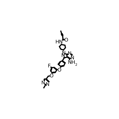 CC#CC(=O)N[C@H]1CC[C@@H](n2nc(-c3ccc(Oc4cc(F)cc(OCc5cnc(C)nc5)c4)cc3)c3c(N)ncnc32)CC1